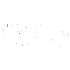 CCc1nn(N(C(=O)O)C(C)C)c(CC)c1S(=O)(=O)c1cccc(NC(=O)C2(C)CC2)c1